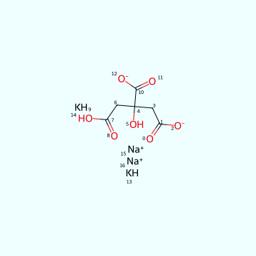 O=C([O-])CC(O)(CC(=O)O)C(=O)[O-].[KH].[KH].[Na+].[Na+]